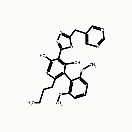 CCCCc1nc(O)c(-c2nnc(Cc3cncnc3)o2)c(O)c1-c1c(OC)cccc1OC